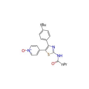 CCCC(=O)Nc1nc(-c2ccc(C(C)(C)C)cc2)c(-c2cc[n+]([O-])cc2)s1